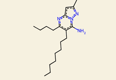 CCCCCCCCc1c(CCCC)nc2cc(C)nn2c1N